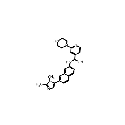 Cc1ncc(-c2ccc3cnc(NC(O)c4ccnc(N5CCNCC5)c4)cc3c2)n1C